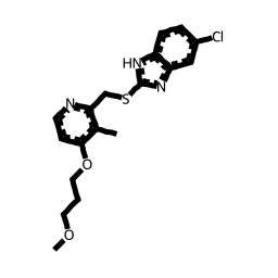 COCCCOc1ccnc(CSc2nc3cc(Cl)ccc3[nH]2)c1C